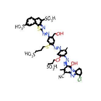 Cc1cc(N=Nc2c(C)c(C#N)c3nc4c(Cl)cccc4n3c2O)c(OCCCS(=O)(=O)O)cc1N=Nc1cc(CO)c(N=Nc2nc3c(S(=O)(=O)O)cc4ccc(S(=O)(=O)O)cc4c3s2)cc1SCCCS(=O)(=O)O